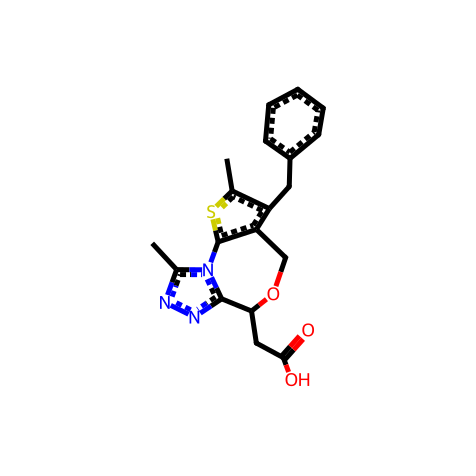 Cc1sc2c(c1Cc1ccccc1)COC(CC(=O)O)c1nnc(C)n1-2